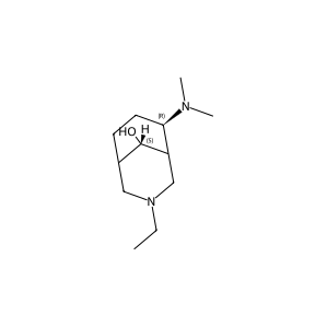 CCN1CC2CC[C@@H](N(C)C)C(C1)[C@H]2O